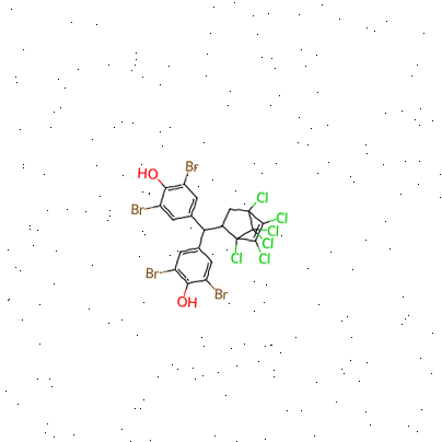 Oc1c(Br)cc(C(c2cc(Br)c(O)c(Br)c2)C2CC3(Cl)C(Cl)=C(Cl)C2(Cl)C3(Cl)Cl)cc1Br